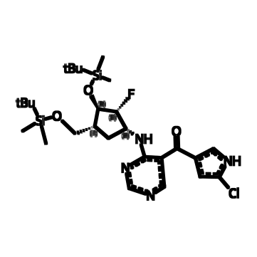 CC(C)(C)[Si](C)(C)OC[C@H]1C[C@@H](Nc2ncncc2C(=O)c2c[nH]c(Cl)c2)[C@@H](F)[C@@H]1O[Si](C)(C)C(C)(C)C